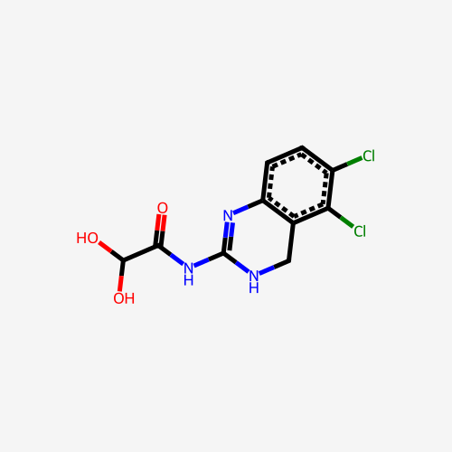 O=C(NC1=Nc2ccc(Cl)c(Cl)c2CN1)C(O)O